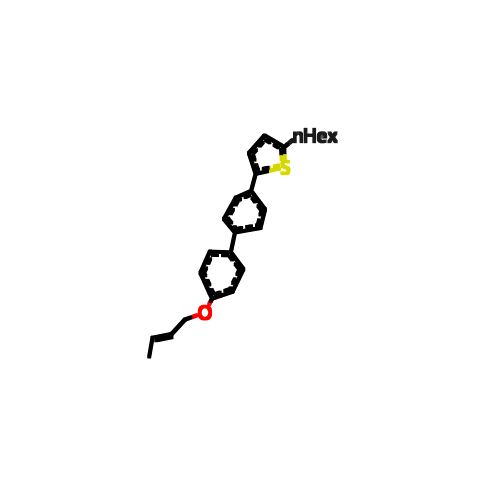 C/C=C/COc1ccc(-c2ccc(-c3ccc(CCCCCC)s3)cc2)cc1